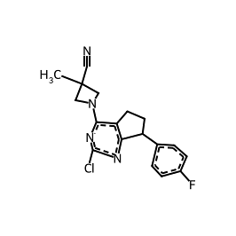 CC1(C#N)CN(c2nc(Cl)nc3c2CCC3c2ccc(F)cc2)C1